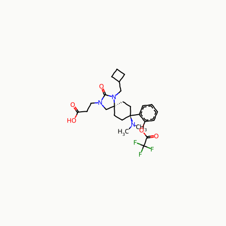 CN(C)[C@]1(c2ccccc2OC(=O)C(F)(F)F)CC[C@]2(CC1)CN(CCC(=O)O)C(=O)N2CC1CCC1